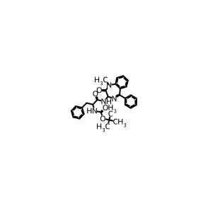 CN1C(=O)C(NC(=O)C(Cc2ccccc2)NC(=O)OC(C)(C)C)N=C(c2ccccc2)c2ccccc21